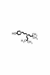 CC(C)CCN(CCCN1CCC(O)CC1)CCC(C)C